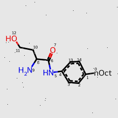 CCCCCCCCc1ccc(NC(=O)C(N)CCO)cc1